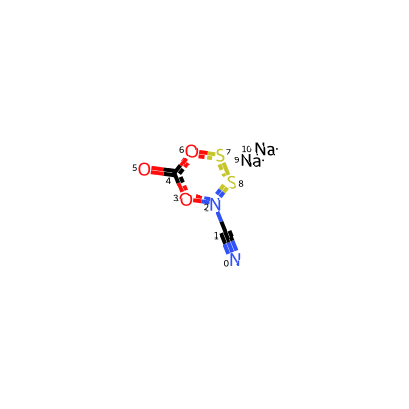 N#Cn1oc(=O)oss1.[Na].[Na]